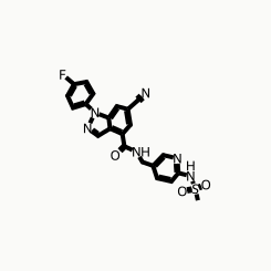 CS(=O)(=O)Nc1ccc(CNC(=O)c2cc(C#N)cc3c2cnn3-c2ccc(F)cc2)cn1